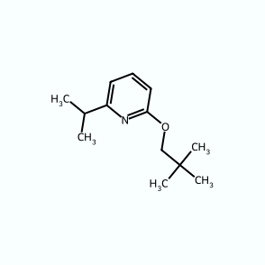 CC(C)c1cccc(OCC(C)(C)C)n1